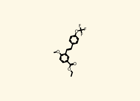 CCOC(=O)c1ccc(OC)c(C=Cc2ccc(OC(F)(F)F)cc2)c1